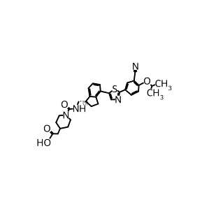 CC(C)Oc1ccc(-c2ncc(-c3cccc4c3CC[C@@H]4CNC(=O)N3CCC(CC(=O)O)CC3)s2)cc1C#N